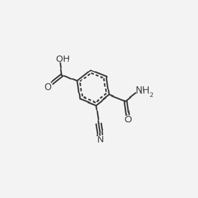 N#Cc1cc(C(=O)O)ccc1C(N)=O